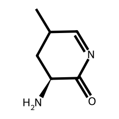 CC1C=NC(=O)[C@@H](N)C1